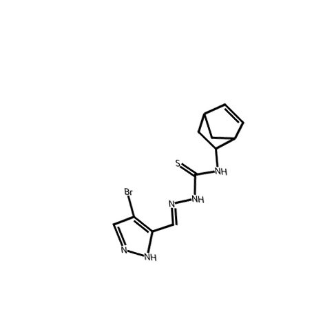 S=C(N/N=C/c1[nH]ncc1Br)NC1CC2C=CC1C2